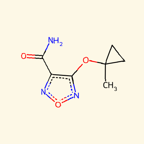 CC1(Oc2nonc2C(N)=O)CC1